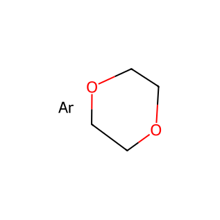 C1COCCO1.[Ar]